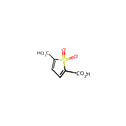 O=C(O)C1=CC=C(C(=O)O)S1(=O)=O